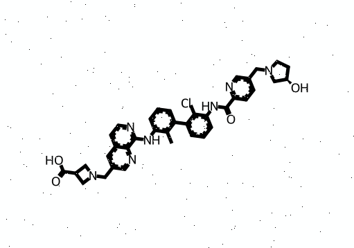 Cc1c(Nc2nccc3cc(CN4CC(C(=O)O)C4)cnc23)cccc1-c1cccc(NC(=O)c2ccc(CN3CC[C@@H](O)C3)cn2)c1Cl